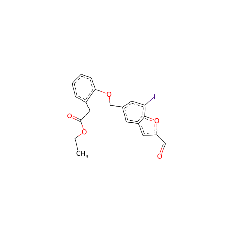 CCOC(=O)Cc1ccccc1OCc1cc(I)c2oc(C=O)cc2c1